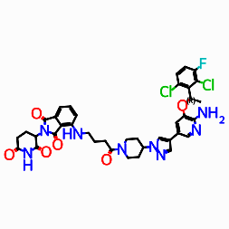 C[C@@H](Oc1cc(-c2cnn(C3CCN(C(=O)CCCNc4cccc5c4C(=O)N(C4CCC(=O)NC4=O)C5=O)CC3)c2)cnc1N)c1c(Cl)ccc(F)c1Cl